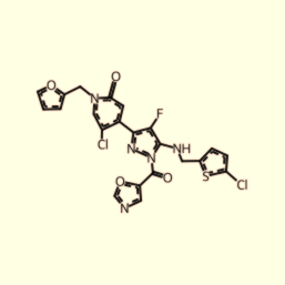 O=C(c1cnco1)n1nc(-c2cc(=O)n(Cc3ccco3)cc2Cl)c(F)c1NCc1ccc(Cl)s1